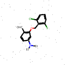 CCN(CC)c1ccc(C=O)c(OCc2c(F)cccc2Cl)c1